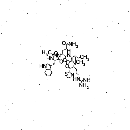 CC(=O)N[C@@H](CC1=CNC2C=CC=CC12)C(=O)N[C@@H](CCC(N)=O)C(=O)N[C@@H](CC(C)C)C(=O)N[C@@H](CCCNC(=N)N)C(=O)c1nccs1